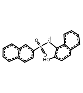 O=S(=O)(Nc1c(O)ccc2ccccc12)c1ccc2ccccc2c1